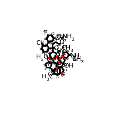 CNC1CCC(C(=O)N2CCCC(C(O)(CCCN(C)C(=O)OC(CCCOC(N)=O)(c3cccc(Cl)c3-c3cc(C)cc(F)c3)C3CCCN(C(=O)C4CCC(NC)C4)C3)c3cccc(F)c3-c3cc(C)cc(F)c3)C2)C1